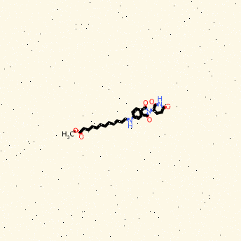 COC(=O)CCCCCCCCCCCNc1ccc2c(c1)C(=O)N(C1CCC(=O)NC1=O)C2=O